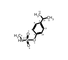 CNS(=O)(=O)Oc1ccc(C(C)C)cc1